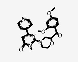 COc1ccc(C(=O)C2CN(c3nc(-c4ccncc4)cc(=O)n3C)CCO2)c(OC)c1